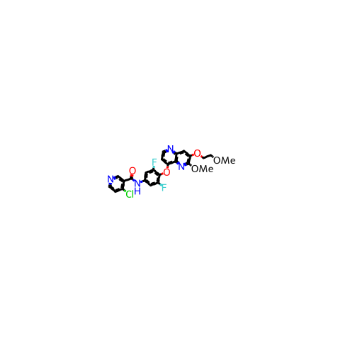 COCCOc1cc2nccc(Oc3c(F)cc(NC(=O)c4cnccc4Cl)cc3F)c2nc1OC